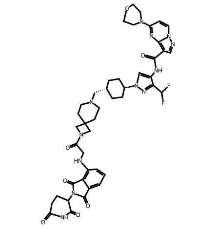 O=C1CCC(N2C(=O)c3cccc(NCC(=O)N4CC5(CCN(C[C@H]6CC[C@H](n7cc(NC(=O)c8cnn9ccc(N%10CCOCC%10)nc89)c(C(F)F)n7)CC6)CC5)C4)c3C2=O)C(=O)N1